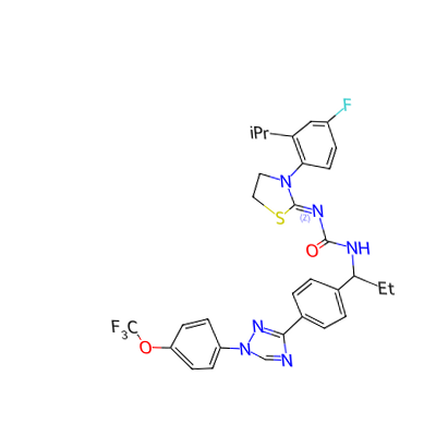 CCC(NC(=O)/N=C1\SCCN1c1ccc(F)cc1C(C)C)c1ccc(-c2ncn(-c3ccc(OC(F)(F)F)cc3)n2)cc1